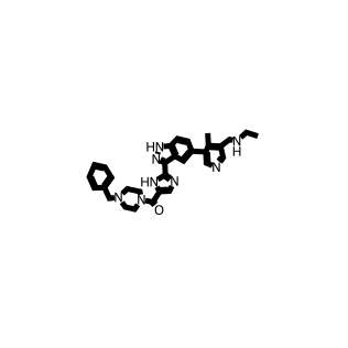 CCNCc1cncc(-c2ccc3[nH]nc(-c4ncc(C(=O)N5CCN(Cc6ccccc6)CC5)[nH]4)c3c2)c1C